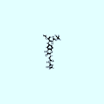 C=C(OCC)[C@H](Cc1ccc2c(c1)NC(=O)[C@@H](CCC(=O)Nc1ncc[nH]1)O2)NC(=O)OC(C)(C)C